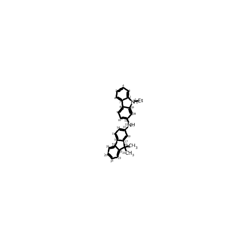 CCn1c2ccccc2c2ccc(Nc3ccc4c(c3)C(C)(C)c3ccccc3-4)cc21